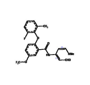 CN/C=C\C(=C/C=O)NC(=O)c1cc(OC(F)(F)F)ccc1Oc1c(C)cccc1F